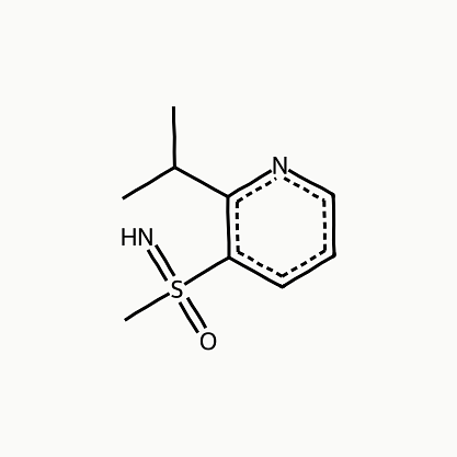 CC(C)c1ncccc1S(C)(=N)=O